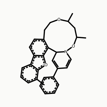 Cc1cccc2c1oc1c3c(ccc12)CCOC(C)CC(C)ON1C=CC(c2ccccc2)=CC31